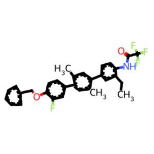 CCc1cc(-c2cc(C)c(-c3ccc(OCc4ccccc4)c(F)c3)cc2C)ccc1NC(=O)C(F)(F)F